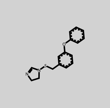 C1=NCCN1SCc1cccc(Oc2ccccc2)c1